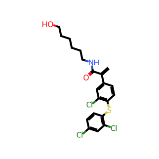 C=C(C(=O)NCCCCCCO)c1ccc(Sc2ccc(Cl)cc2Cl)c(Cl)c1